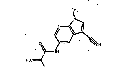 C#Cc1cn(C)c2ncc(NC(=O)C(=C)F)cc12